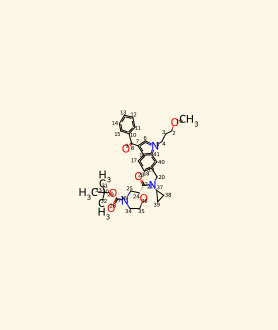 COCCCn1cc(C(=O)c2ccccc2)c2ccc(CN(C(=O)[C@H]3CN(C(=O)OC(C)(C)C)CCO3)C3CC3)cc21